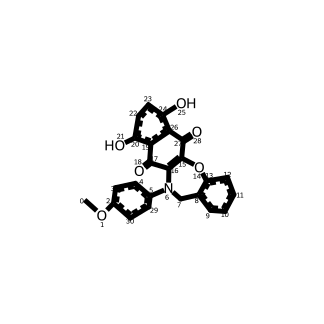 COc1ccc(N2Cc3ccccc3OC3=C2C(=O)c2c(O)ccc(O)c2C3=O)cc1